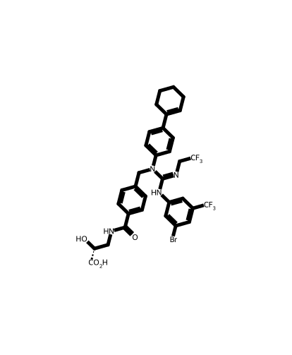 O=C(NC[C@@H](O)C(=O)O)c1ccc(CN(/C(=N\CC(F)(F)F)Nc2cc(Br)cc(C(F)(F)F)c2)c2ccc(C3=CCCCC3)cc2)cc1